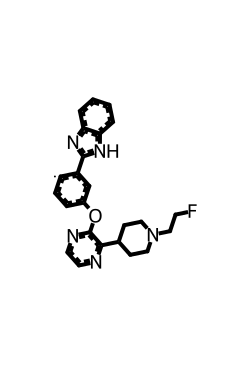 FCCN1CCC(c2nccnc2Oc2cc[c]c(-c3nc4ccccc4[nH]3)c2)CC1